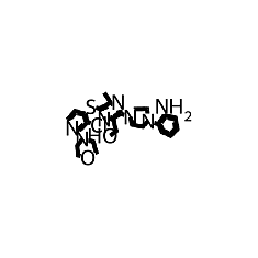 Cc1nc(N2CCN(c3ccccc3N)CC2)c(CO)nc1Sc1ccnc(N2CCOCC2)c1Cl